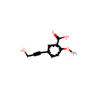 COc1ccc(C#CCO)cc1C(=O)O